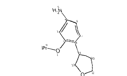 CC(C)Oc1cc(N)ccc1C1CCOC1